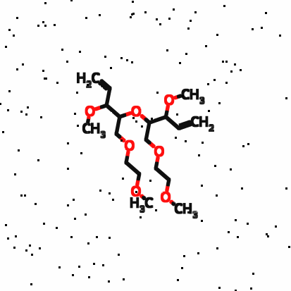 C=CC(OC)C(COCCOC)OC(COCCOC)C(C=C)OC